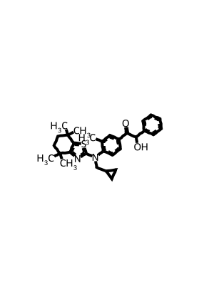 Cc1cc(C(=O)C(O)c2ccccc2)ccc1N(CC1CC1)c1nc2c(s1)C(C)(C)CCC2(C)C